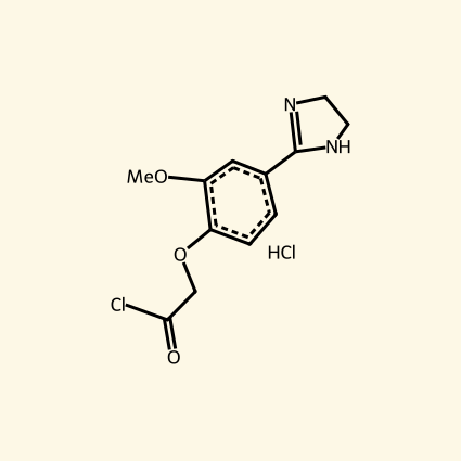 COc1cc(C2=NCCN2)ccc1OCC(=O)Cl.Cl